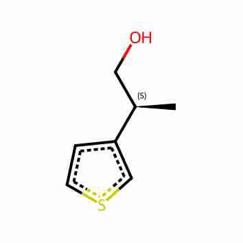 C[C@H](CO)c1ccsc1